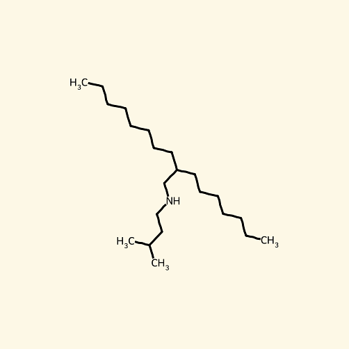 CCCCCCCCC(CCCCCCC)CNCCC(C)C